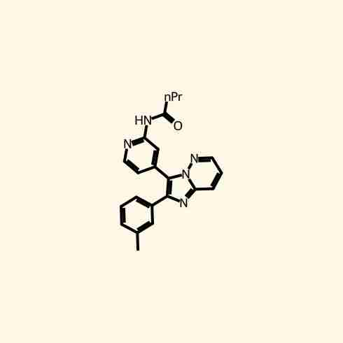 CCCC(=O)Nc1cc(-c2c(-c3cccc(C)c3)nc3cccnn23)ccn1